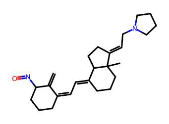 C=C1/C(=C\C=C2/CCCC3(C)/C(=C/CN4CCCC4)CCC23)CCCC1N=O